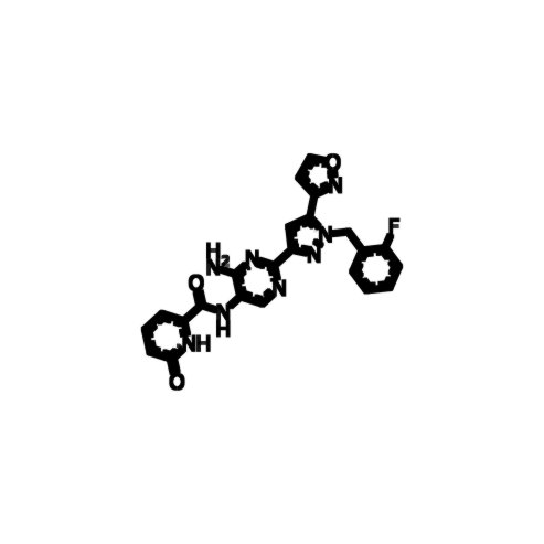 Nc1nc(-c2cc(-c3ccon3)n(Cc3ccccc3F)n2)ncc1NC(=O)c1cccc(=O)[nH]1